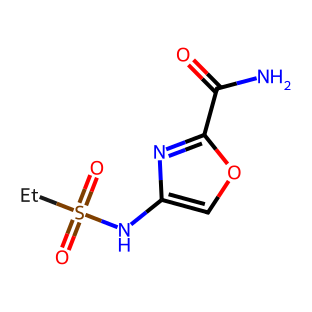 CCS(=O)(=O)Nc1coc(C(N)=O)n1